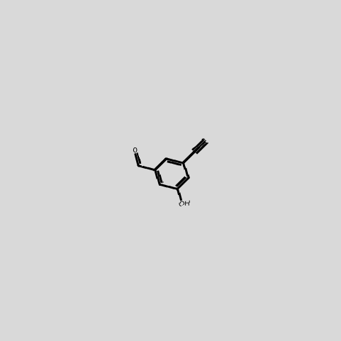 C#Cc1cc(O)cc(C=O)c1